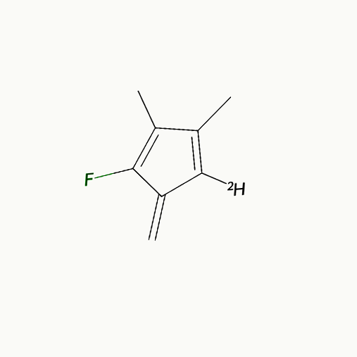 [2H]C1=C(C)C(C)=C(F)C1=C